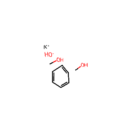 CO.CO.[K+].[OH-].c1ccccc1